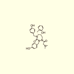 CN(C)CC(=O)N1C[C@@H](O)[C@@H](Cc2ccccc2)N(Cc2ccc(O)cc2)C(=O)N1Cc1ccc(O)cc1